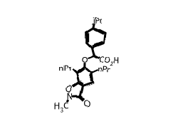 CCCc1cc2c(=O)n(C)oc2c(CCC)c1OC(C(=O)O)c1ccc(C(C)C)cc1